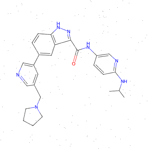 CC(C)Nc1ccc(NC(=O)c2n[nH]c3ccc(-c4cncc(CN5CCCC5)c4)cc23)cn1